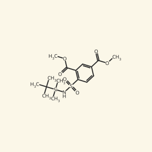 COC(=O)c1ccc(S(=O)(=O)N[Si](C)(C)C(C)(C)C)c(C(=O)OC)c1